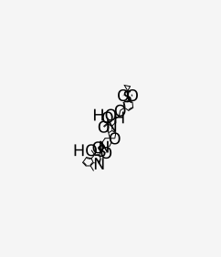 Cc1cccc2c(O)c(S(=O)(=O)N3CCC4(CC3)C[C@@H](N(C[C@H](O)COc3cccc(S(=O)(=O)C5CC5)c3)C(=O)O)CO4)cnc12